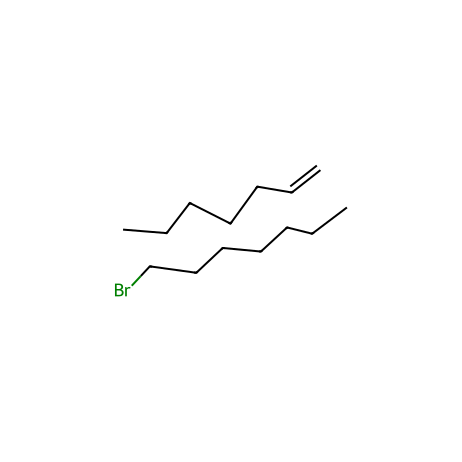 C=CCCCCC.CCCCCCCBr